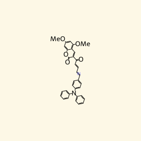 COc1cc(OC)c2cc(C(=O)C=C/C=C/c3ccc(N(c4ccccc4)c4ccccc4)cc3)c(=O)oc2c1